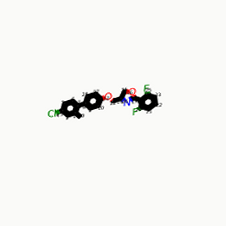 Cc1cc(Cl)ccc1-c1ccc(OCC2COC(c3c(F)cccc3F)=N2)cc1